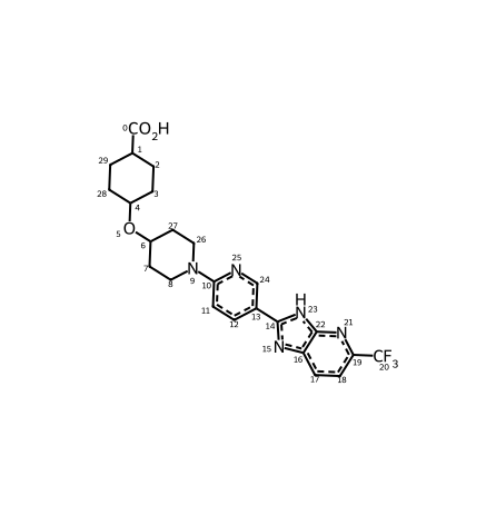 O=C(O)C1CCC(OC2CCN(c3ccc(-c4nc5ccc(C(F)(F)F)nc5[nH]4)cn3)CC2)CC1